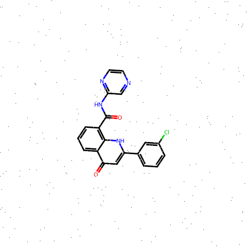 O=C(Nc1cnccn1)c1cccc2c(=O)cc(-c3cccc(Cl)c3)[nH]c12